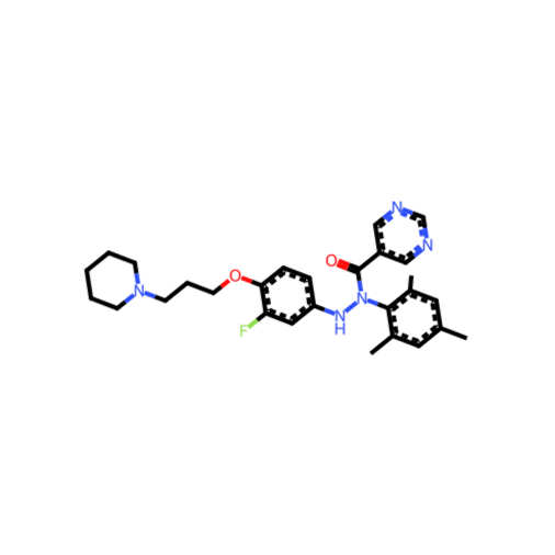 Cc1cc(C)c(N(Nc2ccc(OCCCN3CCCCC3)c(F)c2)C(=O)c2cncnc2)c(C)c1